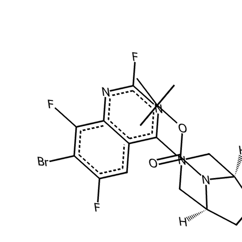 CC(C)(C)OC(=O)N1[C@@H]2CC[C@H]1CN(c1nc(F)nc3c(F)c(Br)c(F)cc13)C2